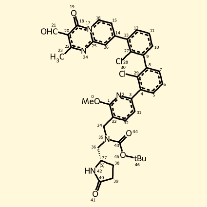 COc1nc(-c2cccc(-c3cccc(-c4ccn5c(=O)c(C=O)c(C)nc5c4)c3Cl)c2Cl)ccc1CN(C[C@@H]1CCC(=O)N1)C(=O)OC(C)(C)C